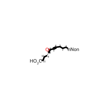 CCCCCCCCCCCCC#CC1O[C@H]1CCCC(=O)O